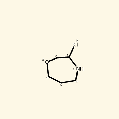 ClC1COCCCN1